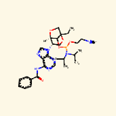 [C-]#[N+]CCOP(OC1[C@@H]2OCC1(CC)OC[C@@H]2n1cnc2c(NC(=O)c3ccccc3)ncnc21)N(C(C)C)C(C)C